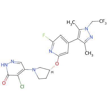 Cc1nn(CC(F)(F)F)c(C)c1-c1cc(F)nc(O[C@@H]2CCN(c3cn[nH]c(=O)c3Cl)C2)c1